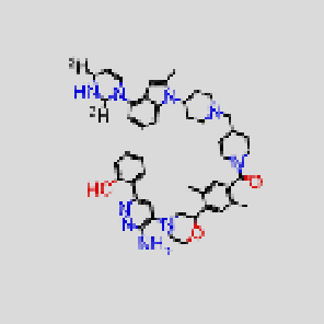 [2H]C1C=CN(c2cccc3c2cc(C)n3C2CCN(CC3CCN(C(=O)c4cc(C)c(C5CN(c6cc(-c7ccccc7O)nnc6N)CCO5)cc4C)CC3)CC2)[C@@H]([2H])N1